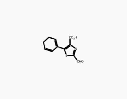 O=Cc1nc(C(=O)O)c(C2=CCCC=C2)s1